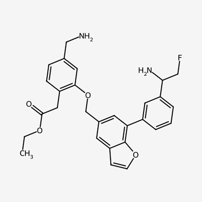 CCOC(=O)Cc1ccc(CN)cc1OCc1cc(-c2cccc(C(N)CF)c2)c2occc2c1